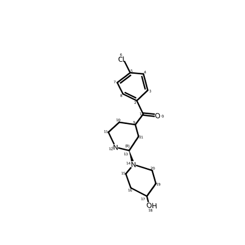 O=C(c1ccc(Cl)cc1)C1CC[N][C@H](N2CCC(O)CC2)C1